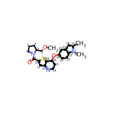 COCC1CCCN1C(=O)c1cc2nccc(Oc3ccc4c(c3)cc(C)n4C)c2s1